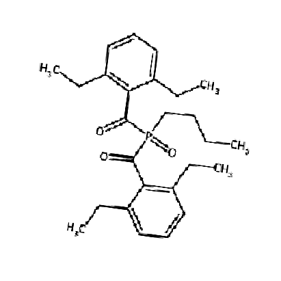 CCCCP(=O)(C(=O)c1c(CC)cccc1CC)C(=O)c1c(CC)cccc1CC